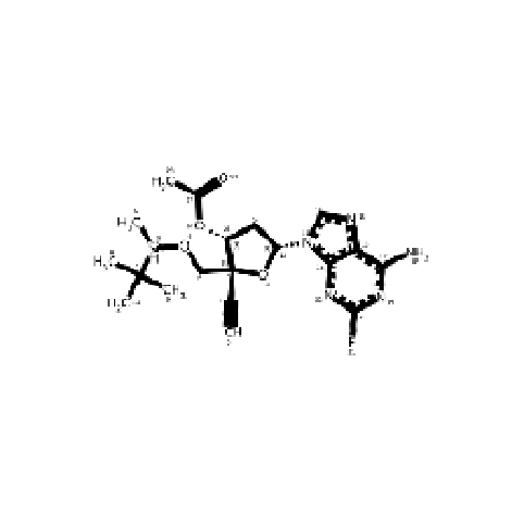 C#C[C@]1(CO[SiH](C)C(C)(C)C)O[C@@H](n2cnc3c(N)nc(F)nc32)C[C@H]1OC(C)=O